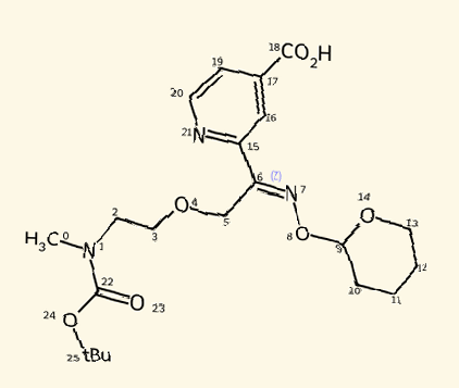 CN(CCOC/C(=N\OC1CCCCO1)c1cc(C(=O)O)ccn1)C(=O)OC(C)(C)C